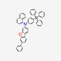 c1ccc(-c2ccc3c(c2)oc2cc(N(c4ccc([Si](c5ccccc5)(c5ccccc5)c5ccccc5)cc4)c4cccc5ccccc45)ccc23)cc1